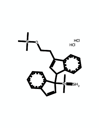 C[Si](C)(C)OCCC1=CC([C]2([Zr]([CH3])([CH3])=[SiH2])C=Cc3ccccc32)c2ccccc21.Cl.Cl